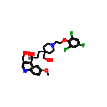 COc1ccc2ncc(CO)c([C@@H](O)CCC3(CO)CCN(CCOc4c(F)cc(F)cc4F)CC3)c2c1